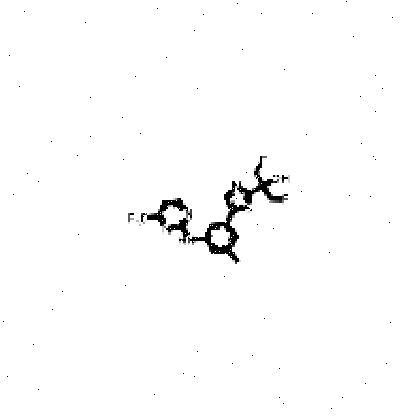 Cc1cc(Nc2nccc(C(F)(F)F)n2)cc(-c2cnc(C(O)(CF)CF)s2)c1